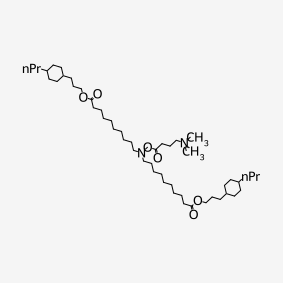 CCCC1CCC(CCCOC(=O)CCCCCCCCCN(CCCCCCCCCC(=O)OCCCC2CCC(CCC)CC2)OC(=O)CCCN(C)C)CC1